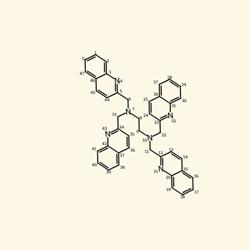 c1ccc2nc(CN(CCN(Cc3ccc4ccccc4n3)Cc3ccc4ccccc4n3)Cc3ccc4ccccc4n3)ccc2c1